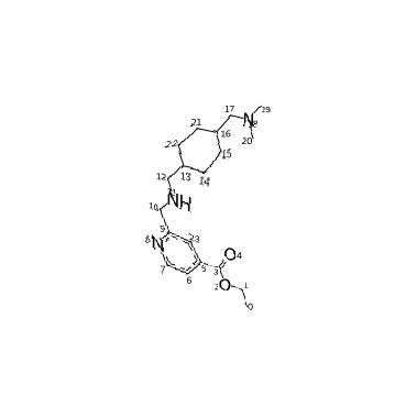 CCOC(=O)c1ccnc(CNCC2CCC(CN(C)C)CC2)c1